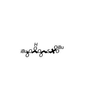 CCC(C)C(=O)OCC(O)COC(=O)CCSCC(C)(C)C(=O)OCC(C)C